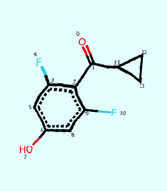 O=C(c1c(F)cc(O)cc1F)C1CC1